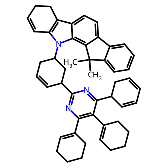 CC1(C)c2ccccc2-c2ccc3c4c(n(C5CC=CC(c6nc(C7=CCCCC7)c(C7=CCCCC7)c(C7C=CC=CC7)n6)C5)c3c21)C=CCC4